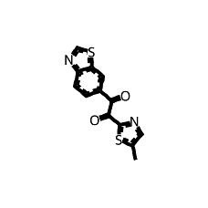 Cc1cnc(C(=O)C(=O)c2ccc3ncsc3c2)s1